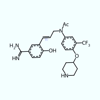 CC(=O)N(C/C=C/c1cc(C(=N)N)ccc1O)c1ccc(OC2CCNCC2)c(C(F)(F)F)c1